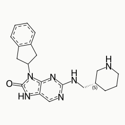 O=c1[nH]c2cnc(NC[C@H]3CCCNC3)nc2n1C1Cc2ccccc2C1